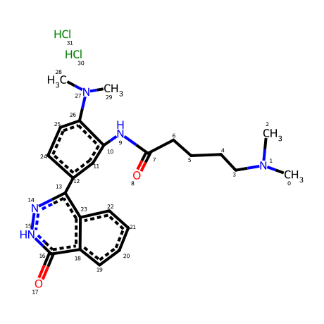 CN(C)CCCCC(=O)Nc1cc(-c2n[nH]c(=O)c3ccccc23)ccc1N(C)C.Cl.Cl